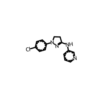 Clc1ccc(N2CCC(Nc3cccnc3)=N2)cc1